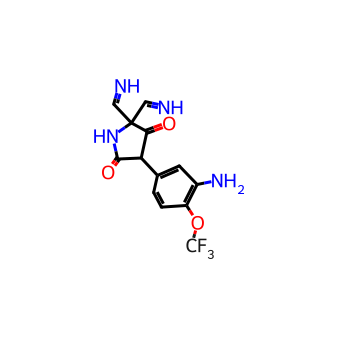 N=CC1(C=N)NC(=O)C(c2ccc(OC(F)(F)F)c(N)c2)C1=O